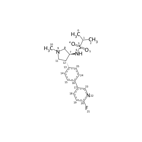 CC(C)S(=O)(=O)N[C@@H]1CN(C)C[C@H]1c1ccc(-c2ccc(F)nc2)cc1